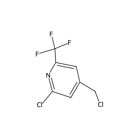 FC(F)(F)c1cc(CCl)cc(Cl)n1